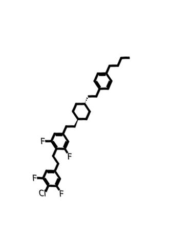 CCCCc1ccc(CC[C@H]2CC[C@H](CCc3cc(F)c(CCc4cc(F)c(Cl)c(F)c4)c(F)c3)CC2)cc1